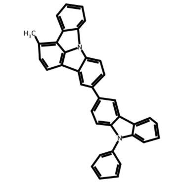 Cc1ccc2c3cc(-c4ccc5c(c4)c4ccccc4n5-c4ccccc4)ccc3n3c4ccccc4c1c23